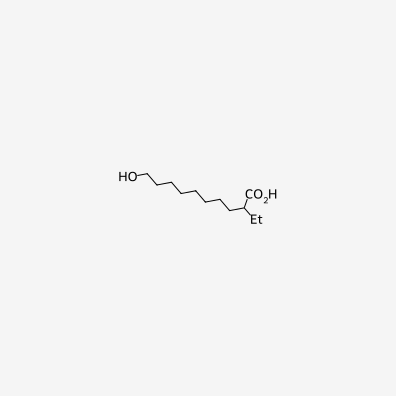 CCC(CCCCCCCCO)C(=O)O